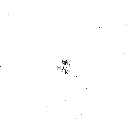 N.O.[K+].[OH-]